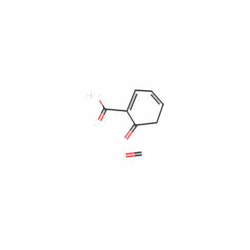 C=O.O=C(O)C1=CC=CCC1=O